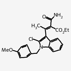 CCOC(=O)C(C(N)=O)=C(C)c1c(Cl)n(Cc2ccc(OC)cc2)c2ccccc12